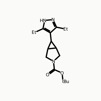 CCc1n[nH]c(CC)c1C1C2CN(C(=O)OC(C)(C)C)CC21